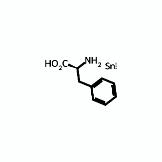 N[C@@H](Cc1ccccc1)C(=O)O.[Sn]